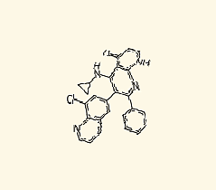 O=c1cc[nH]c2nc(-c3ccccc3)c(-c3cc(Cl)c4ncccc4c3)c(NC3CC3)c12